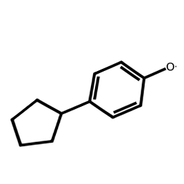 [O]c1ccc(C2CCCC2)cc1